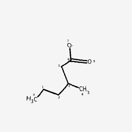 CCCC(C)CC([O])=O